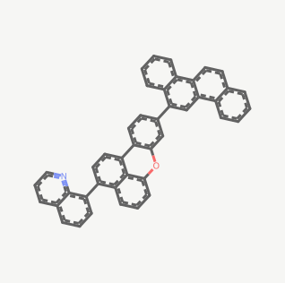 c1cnc2c(-c3ccc4c5c(cccc35)Oc3cc(-c5cc6c7ccccc7ccc6c6ccccc56)ccc3-4)cccc2c1